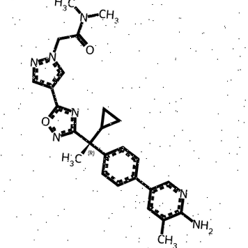 Cc1cc(-c2ccc([C@](C)(c3noc(-c4cnn(CC(=O)N(C)C)c4)n3)C3CC3)cc2)cnc1N